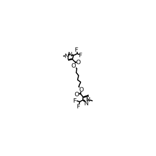 Cn1cc(C(=O)OCCCCCCOC(=O)c2cn(C)nc2C(F)F)c(C(F)F)n1